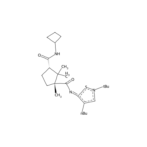 CCCCc1cn(C(C)(C)C)s/c1=N\C(=O)[C@]1(C)CC[C@H](C(=O)NC2CCC2)C1(C)C